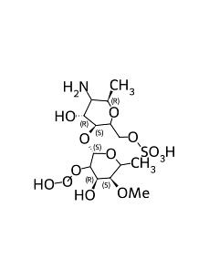 CO[C@@H]1C(C)O[C@@H](O[C@@H]2C(COS(=O)(=O)O)O[C@H](C)C(N)[C@H]2O)C(OOO)[C@@H]1O